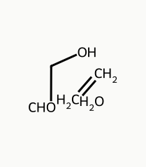 C=C.O.O=CCO